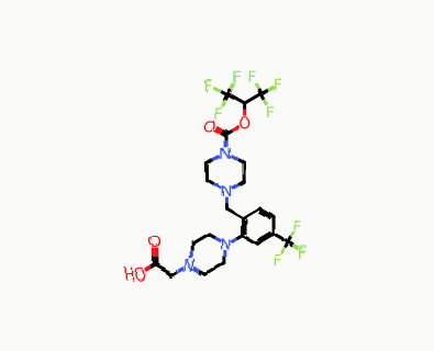 O=C(O)CN1CCN(c2cc(C(F)(F)F)ccc2CN2CCN(C(=O)OC(C(F)(F)F)C(F)(F)F)CC2)CC1